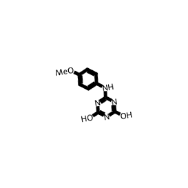 COc1ccc(Nc2nc(O)nc(O)n2)cc1